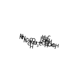 CC[C@H]1[C@@H](O)[C@@H]2[C@H](CC[C@]3(C)[C@@H](CCOC(=O)NS(=O)(=O)c4ccc(-n5cnnc5)nc4)CC[C@@H]23)[C@@]2(C)CC[C@@H](O)C[C@@H]12